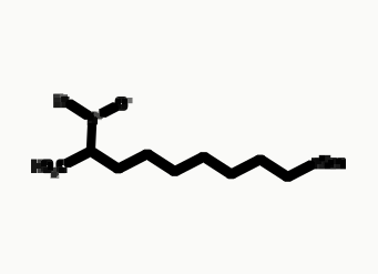 CCCCCCCCCCCCCCCCC(C(=O)O)[S+]([O-])CC